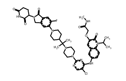 CNC(=O)COc1cc2cc(Nc3nc(N4CCN(C(C)(C)C5CCN(c6cc7c(cc6F)C(=O)N(C6CCC(=O)NC6=O)C7)CC5)CC4)ncc3Cl)ccc2n(C(C)C)c1=O